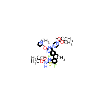 CCc1cc2c(N3CCN(C(=O)OC(C)(C)C)CC3)nc(OC[C@@H]3CCCN3C)nc2c(F)c1-c1ccc(F)c2sc(NC(=O)OC(C)(C)C)nc12